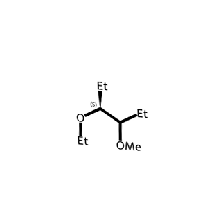 CCO[C@@H](CC)C(CC)OC